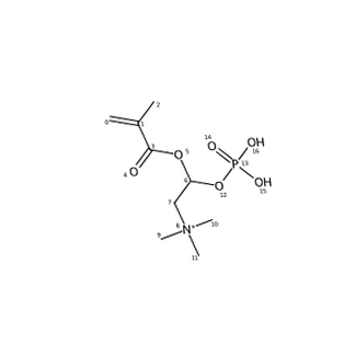 C=C(C)C(=O)OC(C[N+](C)(C)C)OP(=O)(O)O